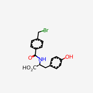 O=C(N[C@@H](Cc1ccc(O)cc1)C(=O)O)c1ccc(CBr)cc1